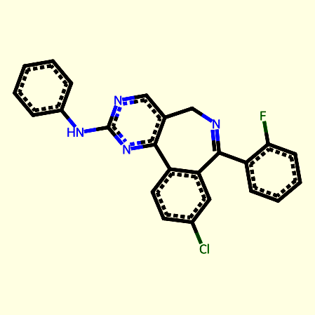 Fc1ccccc1C1=NCc2cnc(Nc3ccccc3)nc2-c2ccc(Cl)cc21